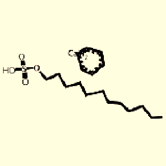 CCCCCCCCCCCCOS(=O)(=O)O.[CaH2].c1ccccc1